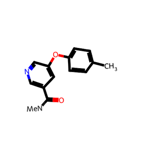 CNC(=O)c1cncc(Oc2ccc(C)cc2)c1